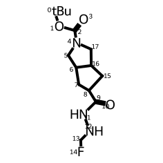 CC(C)(C)OC(=O)N1CC2CC(C(=O)NNCF)CC2C1